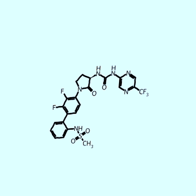 CS(=O)(=O)Nc1ccccc1-c1ccc(N2CC[C@@H](NC(=O)Nc3cnc(C(F)(F)F)cn3)C2=O)c(F)c1F